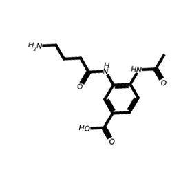 CC(=O)Nc1ccc(C(=O)O)cc1NC(=O)CCCN